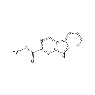 COC(=O)c1ncc2c(n1)[nH]c1ccccc12